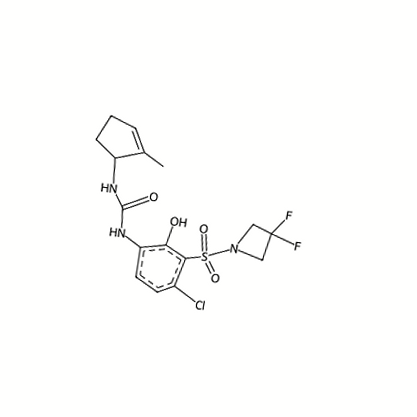 CC1=CCCC1NC(=O)Nc1ccc(Cl)c(S(=O)(=O)N2CC(F)(F)C2)c1O